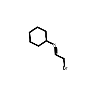 BrCC=NC1CCCCC1